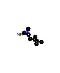 N#Cc1ccc2c(c1)c1cc(-c3cccc(-c4cc5c6ccccc6c(-c6ccccc6)cc5c5ccccc45)c3)ccc1n2-c1ccccc1